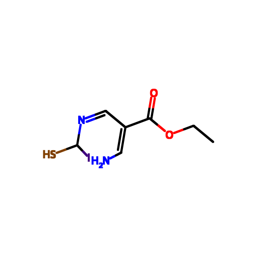 CCOC(=O)C(/C=N\C(S)I)=C/N